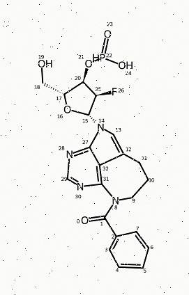 O=C(c1ccccc1)N1CCCc2cn([C@@H]3O[C@H](CO)[C@@H](O[PH](=O)O)[C@H]3F)c3ncnc1c23